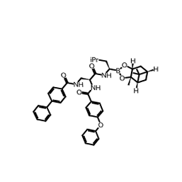 CC(C)C[C@H](NC(=O)[C@H](CNC(=O)c1ccc(-c2ccccc2)cc1)NC(=O)c1ccc(Oc2ccccc2)cc1)B1O[C@@H]2C[C@@H]3C[C@@H](C3(C)C)[C@]2(C)O1